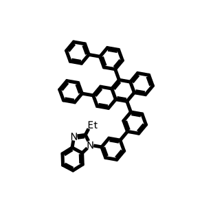 CCc1nc2ccccc2n1-c1cccc(-c2cccc(-c3c4ccccc4c(-c4cccc(-c5ccccc5)c4)c4cc(-c5ccccc5)ccc34)c2)c1